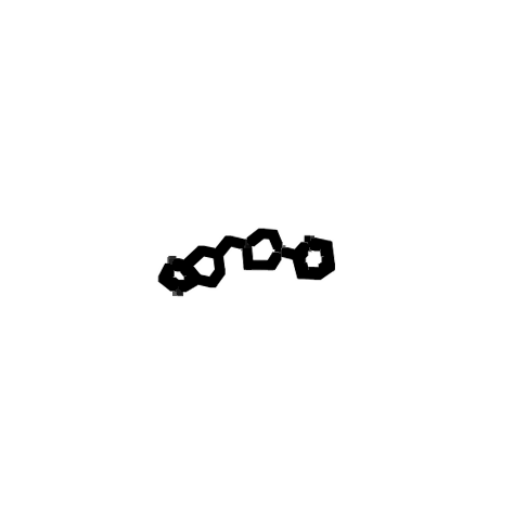 c1ccc(N2CCN(CC3CCc4ncsc4C3)CC2)nc1